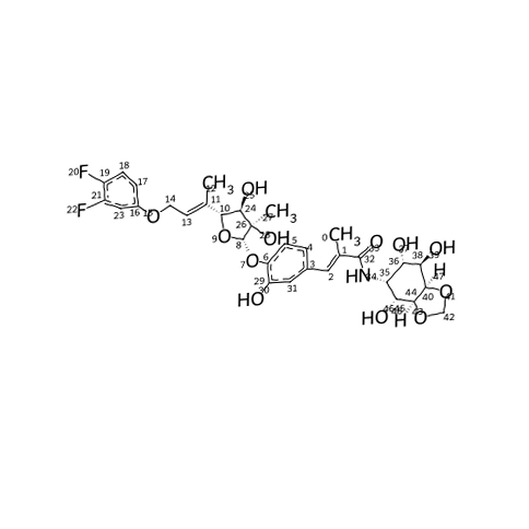 CC(=Cc1ccc(O[C@@H]2O[C@H](C(C)=CCOc3ccc(F)c(F)c3)[C@@H](O)[C@@]2(C)O)c(O)c1)C(=O)N[C@@H]1[C@H](O)[C@@H](O)[C@H]2OCO[C@H]2[C@@H]1O